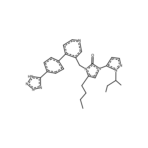 CCCCc1cn(-c2ccnn2C(C)CC)c(=O)n1Cc1cnccc1-c1ccc(-c2nnn[nH]2)cc1